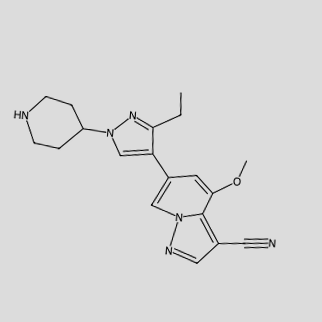 CCc1nn(C2CCNCC2)cc1-c1cc(OC)c2c(C#N)cnn2c1